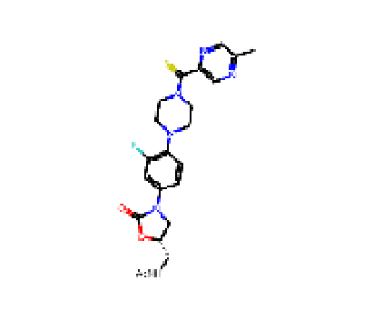 CC(=O)NC[C@H]1CN(c2ccc(N3CCN(C(=S)c4cnc(C)cn4)CC3)c(F)c2)C(=O)O1